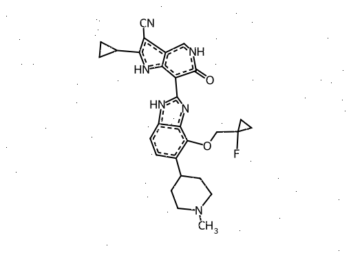 CN1CCC(c2ccc3[nH]c(-c4c(=O)[nH]cc5c(C#N)c(C6CC6)[nH]c45)nc3c2OCC2(F)CC2)CC1